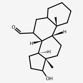 C[C@]12CCCCC1CC(C=O)[C@@H]1[C@H]2CC[C@]2(C)C(O)CC[C@@H]12